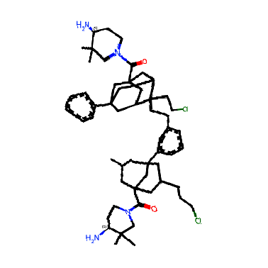 CC1CC2(C(=O)N3CC[C@H](N)C(C)(C)C3)CC(CCCCl)CC(c3cccc(CCC4(CCCl)C5CC6(C(=O)N7CC[C@H](N)C(C)(C)C7)CC4CC(c4ccccc4)(C5)C6)c3)(C1)C2